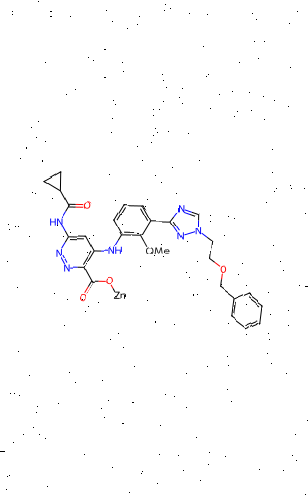 COc1c(Nc2cc(NC(=O)C3CC3)nnc2C(=O)[O][Zn])cccc1-c1ncn(CCOCc2ccccc2)n1